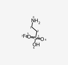 NCCS(=O)(=O)O.[Fe]